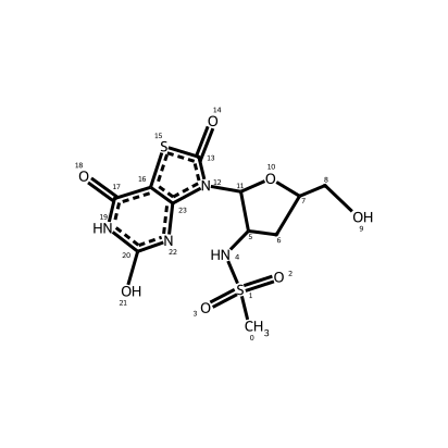 CS(=O)(=O)NC1CC(CO)OC1n1c(=O)sc2c(=O)[nH]c(O)nc21